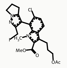 COC(=O)c1c(CCCOC(C)=O)c2ccc(Cl)c(-c3c(CI)nn4c3CCC4)c2n1C